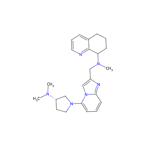 CN(Cc1cn2c(N3CC[C@H](N(C)C)C3)cccc2n1)C1CCCc2cccnc21